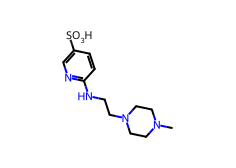 CN1CCN(CCNc2ccc(S(=O)(=O)O)cn2)CC1